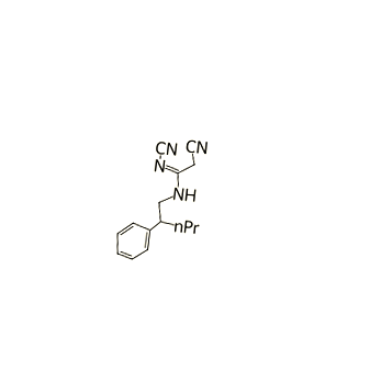 CCCC(CNC(CC#N)=NC#N)c1ccccc1